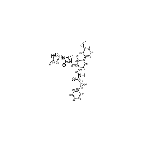 COc1cccc(-c2ccc(CNC(=O)C3CC3c3ccccc3)c3c2CCN(C(=O)Nc2cc(C)no2)C3)c1